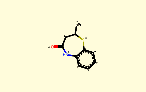 CCCC1CC(=O)Nc2ccccc2S1